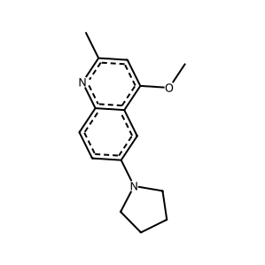 COc1cc(C)nc2ccc(N3CCCC3)cc12